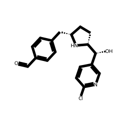 O=Cc1ccc(C[C@@H]2CC[C@H]([C@H](O)c3ccc(Cl)nc3)N2)cc1